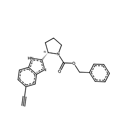 C#Cc1ccc2[nH]c([C@@H]3CCCN3C(=O)OCc3ccccc3)nc2c1